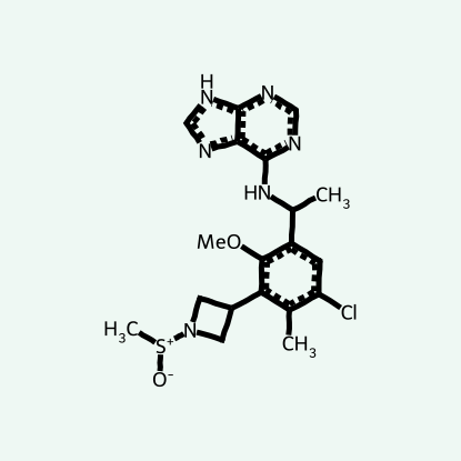 COc1c(C(C)Nc2ncnc3[nH]cnc23)cc(Cl)c(C)c1C1CN([S+](C)[O-])C1